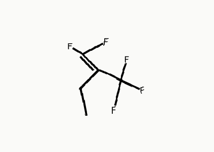 CCC(=C(F)F)C(F)(F)F